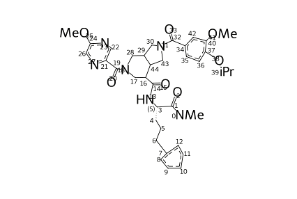 CNC(=O)[C@H](CCCc1ccccc1)NC(=O)C1CN(C(=O)c2cnc(OC)cn2)CC2CN(C(=O)c3ccc(OC(C)C)c(OC)c3)CC21